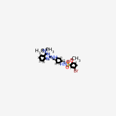 COc1ccc(Br)cc1S(=O)(=O)NC[C@H]1CC[C@H](CNc2nc(N(C)C)c3ccccc3n2)CC1